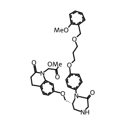 COC(=O)CN1C(=O)CCc2ccc(OC[C@H]3CNCC(=O)N3c3ccc(OCCCOCc4ccccc4OC)cc3)cc21